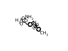 Cc1ccc(S(=O)(=O)n2ncc3cc(C[C@H](OC(N)=O)C(N)=O)ccc32)cc1